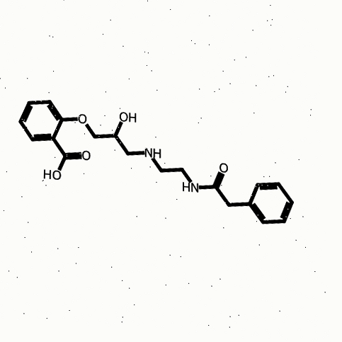 O=C(Cc1ccccc1)NCCNCC(O)COc1ccccc1C(=O)O